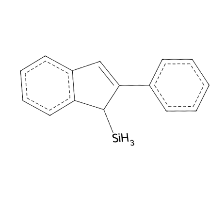 [SiH3]C1C(c2ccccc2)=Cc2ccccc21